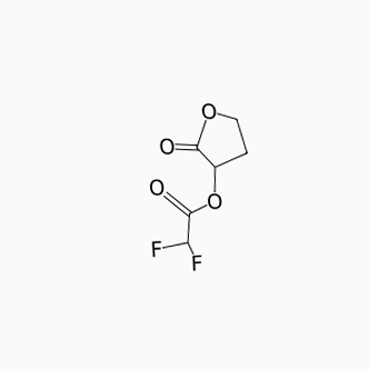 O=C(OC1CCOC1=O)C(F)F